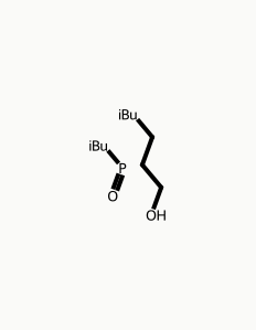 CCC(C)CCCO.CCC(C)P=O